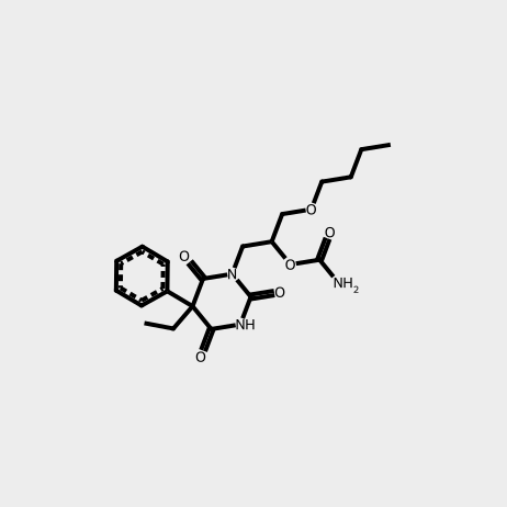 CCCCOCC(CN1C(=O)NC(=O)C(CC)(c2ccccc2)C1=O)OC(N)=O